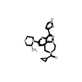 C[C@@H]1COCCN1c1cc2c3c(n1)c(-c1cc[nH]n1)nn3CCN(C(=O)C1CC1)C2